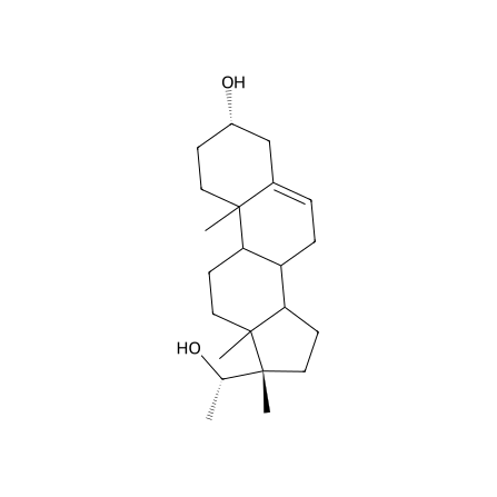 C[C@H](O)[C@@]1(C)CCC2C3CC=C4C[C@@H](O)CCC4(C)C3CCC21C